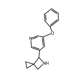 c1ccc(Oc2cncc(C3NCC34CC4)c2)cc1